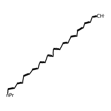 [CH]=CC=CC=CC=CC=CC=CC=CC=CC=CC=CC=CC=CCCC